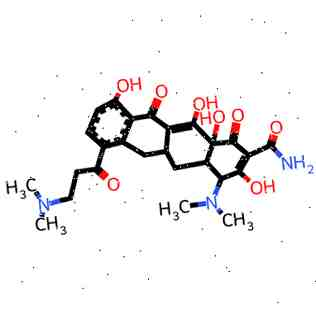 CN(C)CCC(=O)c1ccc(O)c2c1CC1CC3C(N(C)C)C(O)=C(C(N)=O)C(=O)C3(O)C(O)=C1C2=O